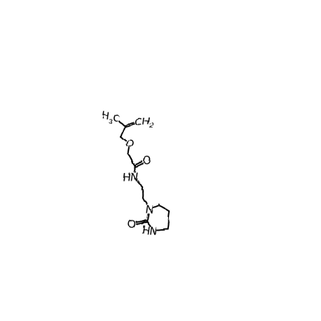 C=C(C)COCC(=O)NCCN1CCCNC1=O